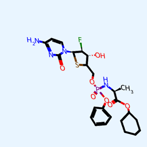 C[C@H](NP(=O)(OCC1S[C@@H](n2ccc(N)nc2=O)[C@@H](F)[C@@H]1O)Oc1ccccc1)C(=O)OC1CCCCC1